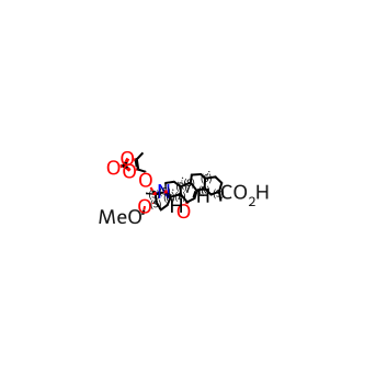 COCO[C@H]1CC[C@]2(C)[C@H]3C(=O)C=C4[C@@H]5C[C@@](C)(C(=O)O)CC[C@]5(C)CC[C@@]4(C)[C@]3(C)CC[C@]23N=C(OCc2oc(=O)oc2C)[C@]13C